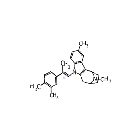 C/C(=C\n1c2c(c3cc(C)ccc31)C1CCC(C2)N1C)c1ccc(C)c(C)c1